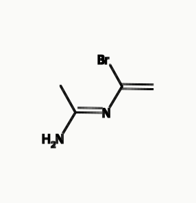 C=C(Br)/N=C(\C)N